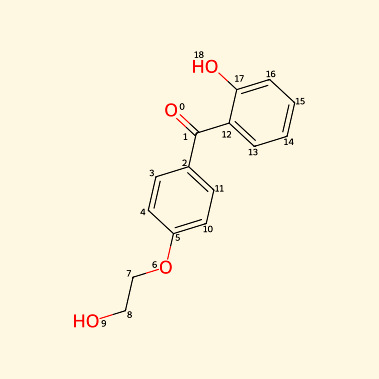 O=C(c1ccc(OCCO)cc1)c1ccccc1O